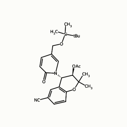 CC(=O)O[C@@H]1[C@@H](n2cc(CO[Si](C)(C)C(C)(C)C)ccc2=O)c2cc(C#N)ccc2OC1(C)C